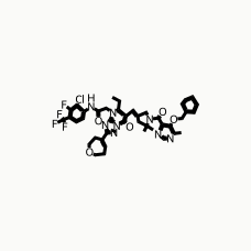 CCc1c(C=C2CN(C(=O)c3ncnc(C)c3OCc3ccccc3)C(C)(C)C2)c(=O)n2nc(C3=CCCOCC3)nc2n1CC(=O)Nc1ccc(C(F)(F)F)c(F)c1Cl